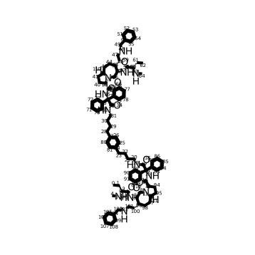 CC[C@H](NC)C(=O)N[C@@H]1C(=O)N2C(C(=O)NC(C(=O)NCCCCc3ccc(CCCCNC(=O)C(NC(=O)[C@@H]4CC[C@@H]5CC[C@H](CCNCc6ccccc6)[C@H](NC(=O)[C@H](CC)NC)C(=O)N54)(c4ccccc4)c4ccccc4)cc3)(c3ccccc3)c3ccccc3)CC[C@@H]2CC[C@@H]1CCNCc1ccccc1